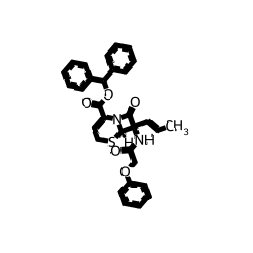 CC=CC1(NC(=O)COc2ccccc2)C(=O)N2C(C(=O)OC(c3ccccc3)c3ccccc3)=CCS[C@H]21